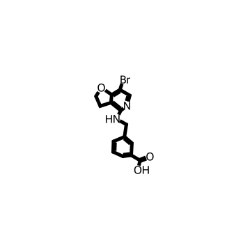 O=C(O)c1cccc(CNc2ncc(Br)c3c2CCO3)c1